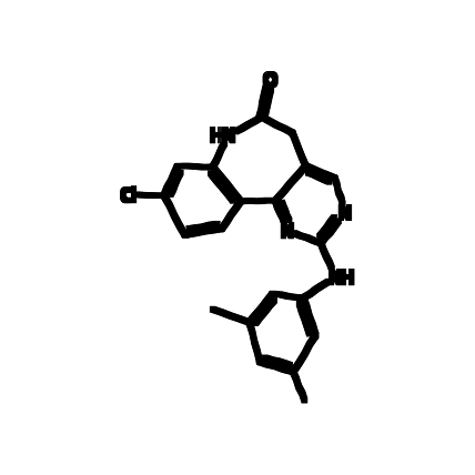 Cc1cc(C)cc(Nc2ncc3c(n2)-c2ccc(Cl)cc2NC(=O)C3)c1